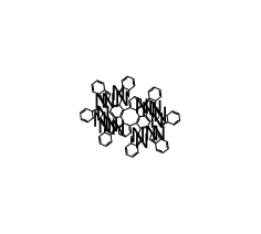 c1cnc2c(c1)-c1c(c(-n3cc4ccccc4n3)c(-n3cc4ccccc4n3)c(-n3cc4ccccc4n3)c1-n1cc3ccccc3n1)-c1ncccc1-c1c-2c(-n2cc3ccccc3n2)c(-n2cc3ccccc3n2)c(-n2cc3ccccc3n2)c1-n1cc2ccccc2n1